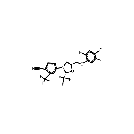 N#Cc1ccc(N2C[C@@H](COc3cc(F)c(F)cc3F)O[C@@H]2C(F)(F)F)cc1C(F)(F)F